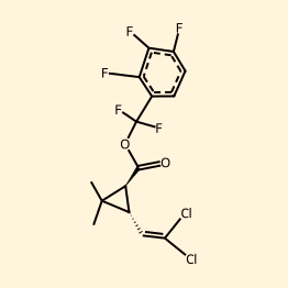 CC1(C)[C@@H](C=C(Cl)Cl)[C@@H]1C(=O)OC(F)(F)c1ccc(F)c(F)c1F